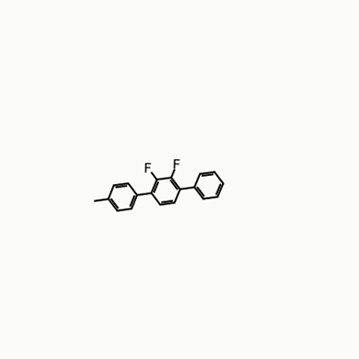 Cc1ccc(-c2ccc(-c3ccccc3)c(F)c2F)cc1